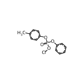 Cc1ccc(OP(=O)(OCl)Oc2ccccc2)cc1